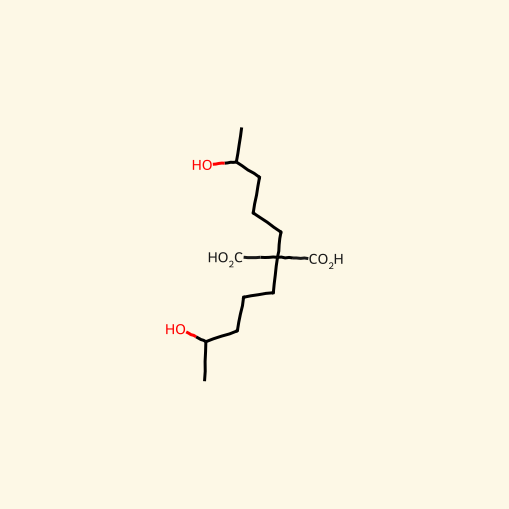 CC(O)CCCC(CCCC(C)O)(C(=O)O)C(=O)O